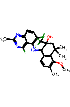 COc1c(C)ccc2c1C(C)(C)CC(O)(C(F)(F)F)C2Nc1c(F)ccc2nc(C)nc(F)c12